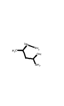 CC(CC(N)O)NN